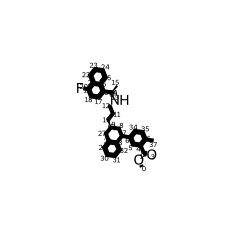 COC(=O)c1cc(C2C[C@H](CCCN[C@H](C)c3ccc(F)c4ccccc34)Cc3ccccc32)ccc1C